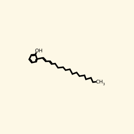 CCCCCCCCCCCCCC=CC=Cc1ccccc1O